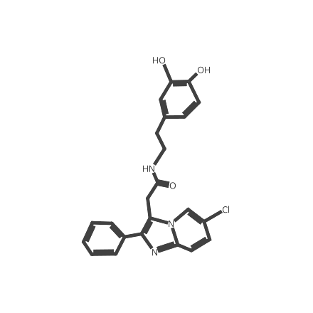 O=C(Cc1c(-c2ccccc2)nc2ccc(Cl)cn12)NCCc1ccc(O)c(O)c1